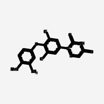 COc1ccc(Oc2c(Cl)cc(-n3ncc(=O)[nH]c3=O)cc2Cl)cc1N